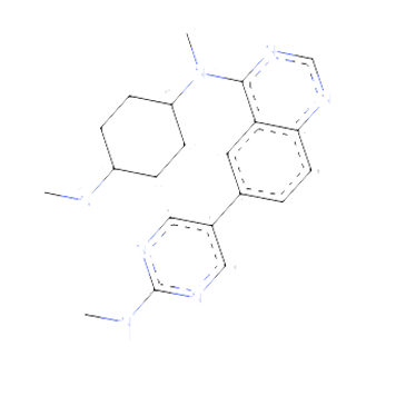 CNc1ncc(-c2ccc3ncnc(N(C)C4CCC(NC)CC4)c3c2)cn1